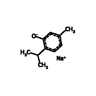 Cc1ccc(C(C)C)c([O-])c1.[Na+]